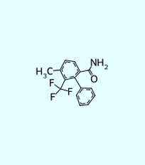 Cc1ccc(C(N)=O)c(-c2ccccc2)c1C(F)(F)F